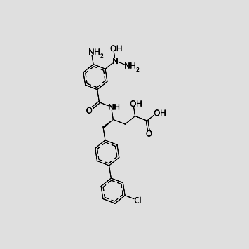 Nc1ccc(C(=O)N[C@H](Cc2ccc(-c3cccc(Cl)c3)cc2)CC(O)C(=O)O)cc1N(N)O